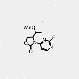 CO[C@H](C)C1COC(=O)N1c1ccnc(F)n1